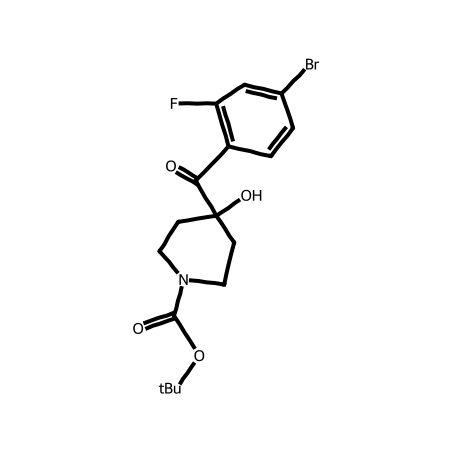 CC(C)(C)OC(=O)N1CCC(O)(C(=O)c2ccc(Br)cc2F)CC1